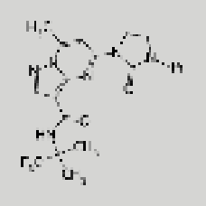 Cc1cc(N2CCN(C(C)C)C2=O)nc2c(C(=O)NC(C)(C)C(F)(F)F)cnn12